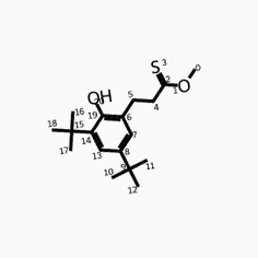 COC(=S)CCc1cc(C(C)(C)C)cc(C(C)(C)C)c1O